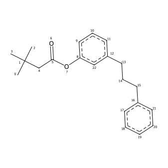 CC(C)(C)CC(=O)Oc1cccc([CH]CCc2ccccc2)c1